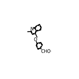 Cc1cc(COc2ccc([C]=O)cc2)c2ccccc2n1